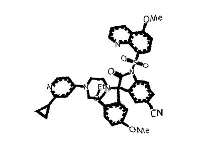 CCOc1ccc(OC)cc1C1(N2CCN(c3ccnc(C4CC4)c3)CC2)C(=O)N(S(=O)(=O)c2ccc(OC)c3cccnc23)c2ccc(C#N)cc21